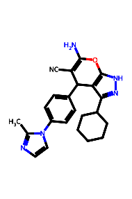 Cc1nccn1-c1ccc(C2C(C#N)=C(N)Oc3[nH]nc(C4CCCCC4)c32)cc1